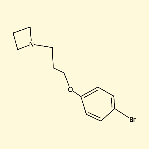 Brc1ccc(OCCCN2CCC2)cc1